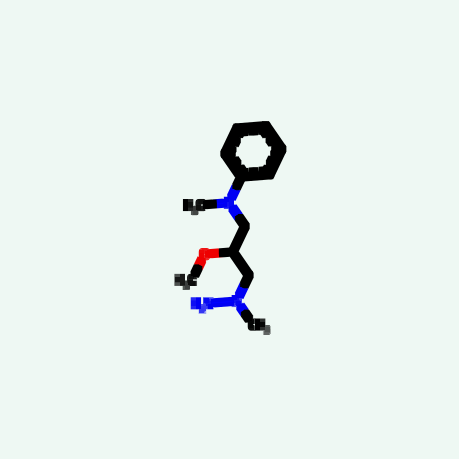 COC(CN(C)N)CN(C)c1ccccc1